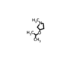 CC(C)O[C@@H]1CCN(C)C1